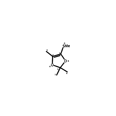 CSC1=C(C)OC(C)(C)O1